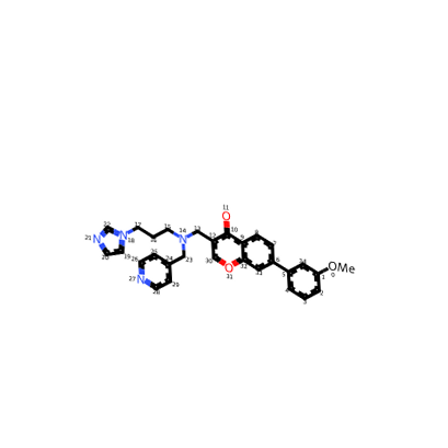 COc1cccc(-c2ccc3c(=O)c(CN(CCCn4ccnc4)Cc4ccncc4)coc3c2)c1